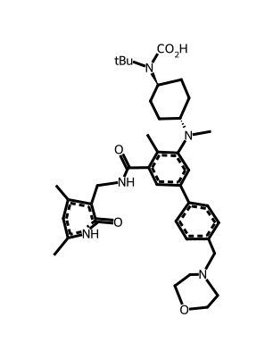 Cc1cc(C)c(CNC(=O)c2cc(-c3ccc(CN4CCOCC4)cc3)cc(N(C)[C@H]3CC[C@H](N(C(=O)O)C(C)(C)C)CC3)c2C)c(=O)[nH]1